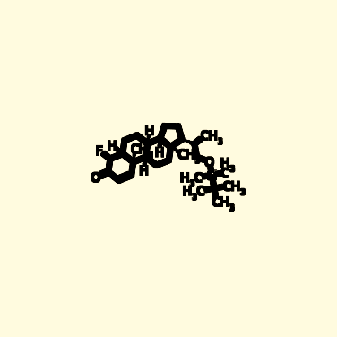 CC(CO[Si](C)(C)C(C)(C)C)[C@H]1CC[C@H]2[C@@H]3CC[C@H]4C(F)C(=O)C=C[C@]4(C)[C@H]3CC[C@]12C